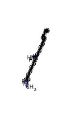 C\C=C(F)/C=C(F)\C(=C\F)OC(=O)CCOCCOCCOCCOCCN/C=C(/COCCOCCOCCOCCN1CCN(CCCN2CCCC2)CC1)N=N